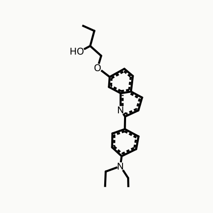 CCC(O)COc1ccc2ccc(-c3ccc(N(CC)CC)cc3)nc2c1